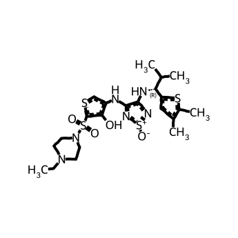 CCN1CCN(S(=O)(=O)c2scc(Nc3n[s+]([O-])nc3N[C@@H](c3cc(C)c(C)s3)C(C)C)c2O)CC1